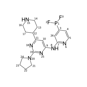 FP(F)c1ccnc(Nc2cc(C3CCNCC3)nc(N3CCCC3)n2)c1